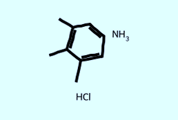 Cc1cccc(C)c1C.Cl.N